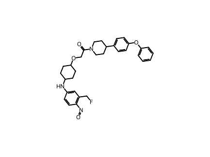 O=Nc1ccc(NC2CCC(OCC(=O)N3CCC(c4ccc(Oc5ccccc5)cc4)CC3)CC2)cc1CF